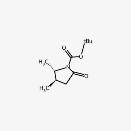 C[C@@H]1CC(=O)N(C(=O)OC(C)(C)C)[C@H]1C